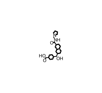 O=C(O)c1ccc(C(O)c2ccc3ccc(C(=O)NCn4cccc4)cc3c2)cc1